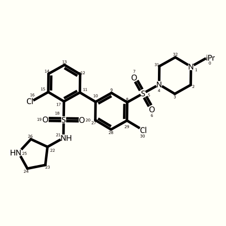 CC(C)N1CCN(S(=O)(=O)c2cc(-c3[c]ccc(Cl)c3S(=O)(=O)NC3CCNC3)ccc2Cl)CC1